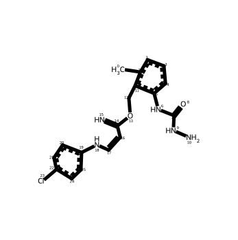 Cc1cccc(NC(=O)NN)c1COC(=N)/C=C\Nc1ccc(Cl)cc1